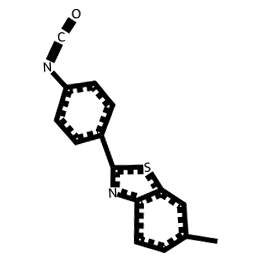 Cc1ccc2nc(-c3ccc(N=C=O)cc3)sc2c1